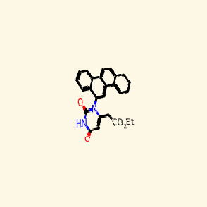 CCOC(=O)Cc1cc(=O)[nH]c(=O)n1C1C=c2c(ccc3c2=CCCC3)-c2ccccc21